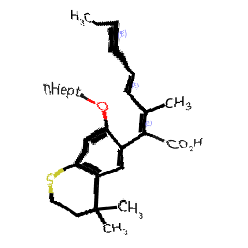 C/C=C/C=C/C(C)=C(/C(=O)O)c1cc2c(cc1OCCCCCCC)SCCC2(C)C